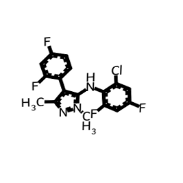 Cc1nn(C)c(Nc2c(F)cc(F)cc2Cl)c1-c1ccc(F)cc1F